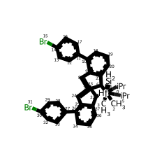 C[CH](C)[Hf]([CH3])([CH3])(=[SiH2])([CH](C)C)([CH]1C=Cc2c(-c3ccc(Br)cc3)cccc21)[CH]1C=Cc2c(-c3ccc(Br)cc3)cccc21